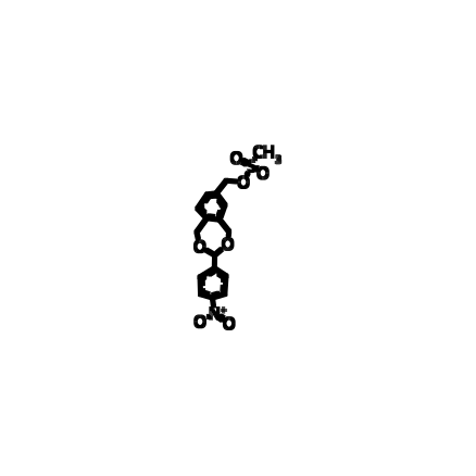 CS(=O)(=O)OCc1ccc2c(c1)COC(c1ccc([N+](=O)[O-])cc1)OC2